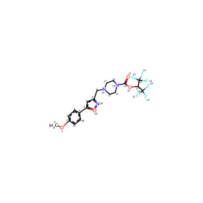 COc1ccc(-c2cc(CN3CCN(C(=O)OC(C(F)(F)F)C(F)(F)F)CC3)no2)cc1